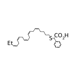 CC/C=C\C/C=C\C/C=C\C/C=C\C/C=C\CCCCSC(C(=O)O)c1ccccc1